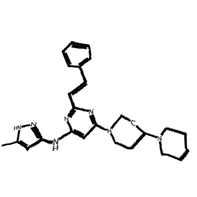 Cc1cc(Nc2cc(N3CCC(N4CCCCC4)CC3)nc(C=Cc3ccccc3)n2)n[nH]1